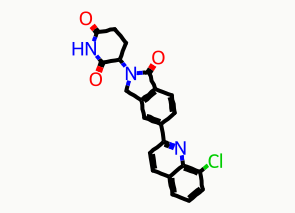 O=C1CCC(N2Cc3cc(-c4ccc5cccc(Cl)c5n4)ccc3C2=O)C(=O)N1